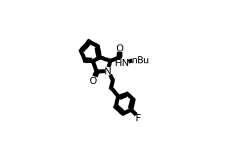 CCCCNC(=O)C1c2ccccc2C(=O)N1CCc1ccc(F)cc1